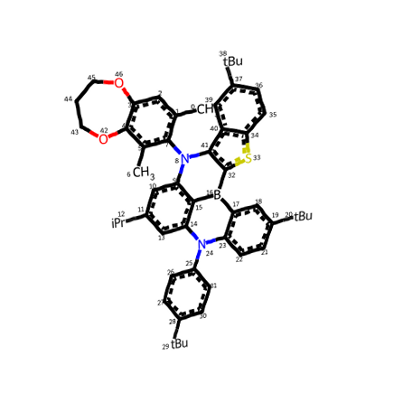 Cc1cc2c(c(C)c1N1c3cc(C(C)C)cc4c3B(c3cc(C(C)(C)C)ccc3N4c3ccc(C(C)(C)C)cc3)c3sc4ccc(C(C)(C)C)cc4c31)OCCCO2